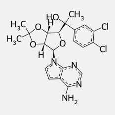 CC1(C)O[C@@H]2[C@H](O1)[C@@H](C(C)(O)c1ccc(Cl)c(Cl)c1)O[C@H]2n1ccc2c(N)ncnc21